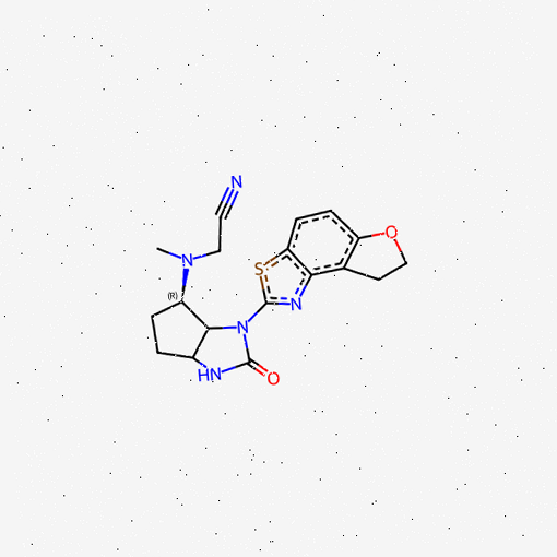 CN(CC#N)[C@@H]1CCC2NC(=O)N(c3nc4c5c(ccc4s3)OCC5)C21